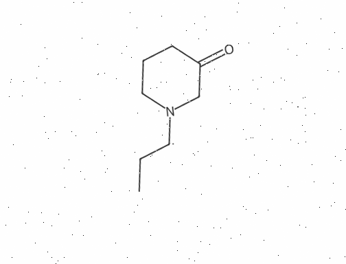 CC[CH]N1CCCC(=O)C1